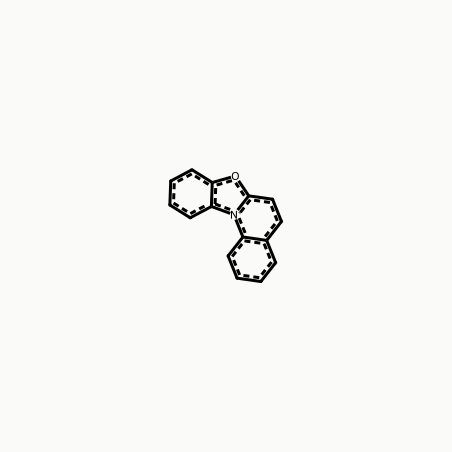 c1ccc2c(c1)ccc1oc3ccccc3[n+]12